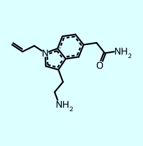 C=CCn1cc(CCN)c2cc(CC(N)=O)ccc21